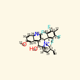 C=CC1C[N+]2(Cc3c(F)c(F)c(C)c(F)c3F)CCC1CC2[C@H](O)c1ccnc2ccc(OC)cc12